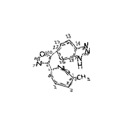 Cc1cccc(-c2ncoc2-c2ccc3nn[nH]c3c2)n1